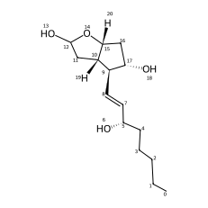 CCCCC[C@H](O)/C=C/[C@H]1[C@@H]2CC(O)O[C@@H]2C[C@@H]1O